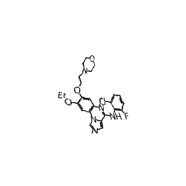 CCOc1cc2c(cc1OCCN1CCOCC1)nc(Nc1c(F)cccc1Cl)c1cncn12